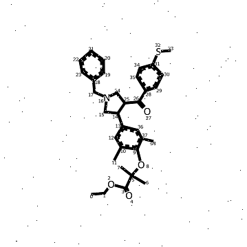 CCOC(=O)C(C)(C)Oc1c(C)cc(C2CN(Cc3ccccc3)CC2C(=O)c2ccc(SC)cc2)cc1C